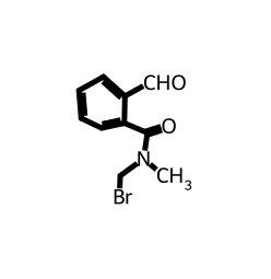 CN(CBr)C(=O)c1ccccc1C=O